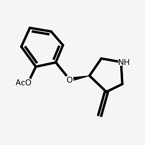 C=C1CNC[C@@H]1Oc1ccccc1OC(C)=O